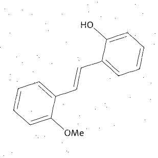 COc1ccccc1C=Cc1ccccc1O